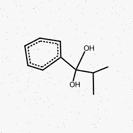 CC(C)C(O)(O)c1ccccc1